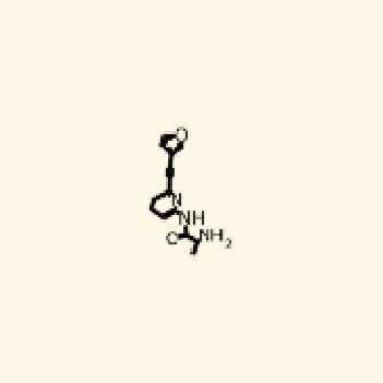 CC(N)C(=O)NC1=CCCC(C#Cc2ccoc2)=N1